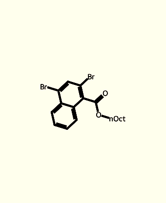 CCCCCCCCOC(=O)c1c(Br)cc(Br)c2ccccc12